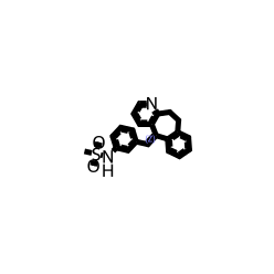 CS(=O)(=O)Nc1cccc(/C=C2/c3ccccc3CCc3ncccc32)c1